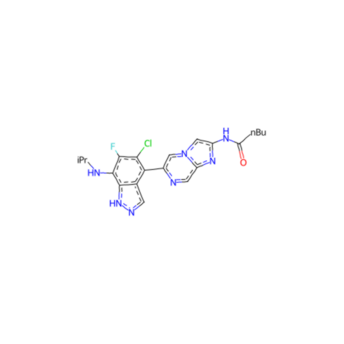 CCCCC(=O)Nc1cn2cc(-c3c(Cl)c(F)c(NC(C)C)c4[nH]ncc34)ncc2n1